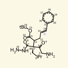 CC(C)C[C@@](C(=O)CN)(C(=O)NN)C(C/C=C/c1ccccc1)C(=O)OC(C)(C)C